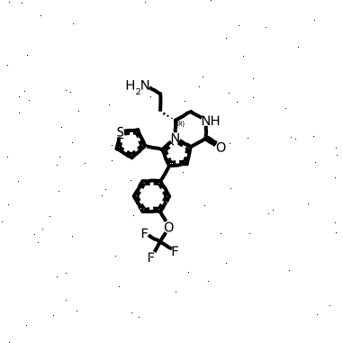 NCC[C@@H]1CNC(=O)c2cc(-c3cccc(OC(F)(F)F)c3)c(-c3ccsc3)n21